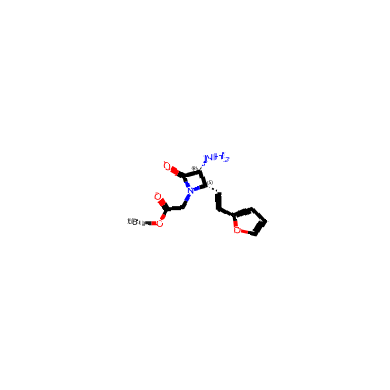 CC(C)(C)OC(=O)CN1C(=O)[C@H](N)[C@@H]1C=Cc1ccco1